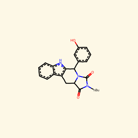 CCCCN1C(=O)C2Cc3c([nH]c4ccccc34)C(c3cccc(O)c3)N2C1=O